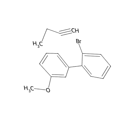 C#CCC.COc1cccc(-c2ccccc2Br)c1